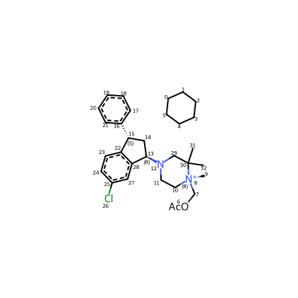 C1CCCCC1.CC(=O)OC[N@+]1(C)CCN([C@@H]2C[C@@H](c3ccccc3)c3ccc(Cl)cc32)CC1(C)C